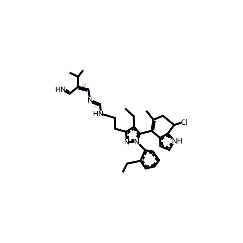 CCc1ccccc1-n1nc(CCN/C=N/C=C(\C=N)C(C)C)c(CC)c1C1=C(C)CC(Cl)c2[nH]ccc21